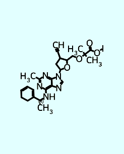 C#CC1CC(n2cnc3c(N[C@H](C)C4=CC=CCC4)nc(C)nc32)OC1COC(C)(C)C(=O)OI